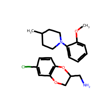 COc1ccccc1N1CCC(C)CC1.NCC1COc2cc(Cl)ccc2O1